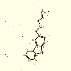 C=CCOCc1ccc2c(c1)-c1ccccc1[N]2